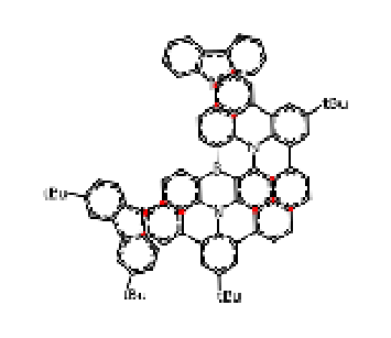 CC(C)(C)c1cc(-c2ccccc2)c(N2c3cc(-n4c5ccccc5c5ccccc54)ccc3B3c4ccc(-n5c6ccc(C(C)(C)C)cc6c6cc(C(C)(C)C)ccc65)cc4N(c4c(-c5ccccc5)cc(C(C)(C)C)cc4-c4ccccc4)c4cccc2c43)c(-c2ccccc2)c1